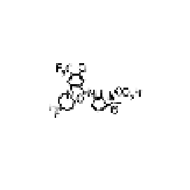 CS(=O)(=NC(=O)O)c1cccc(NC(=O)c2cc(Cl)c(C(F)(F)F)cc2N2CCCC(F)(F)CC2)c1